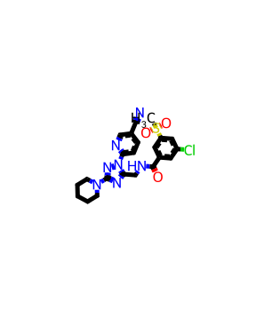 CS(=O)(=O)c1cc(Cl)cc(C(=O)NCc2nc(N3CCCCC3)nn2-c2ccc(C#N)cn2)c1